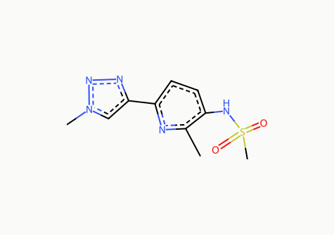 Cc1nc(-c2cn(C)nn2)ccc1NS(C)(=O)=O